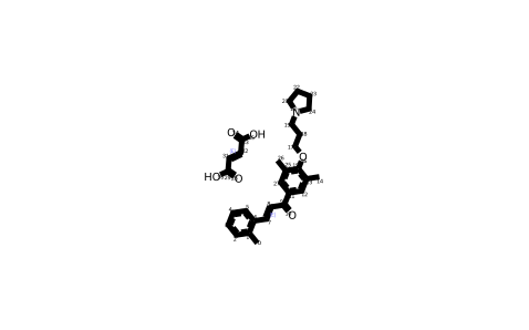 Cc1ccccc1/C=C/C(=O)c1cc(C)c(OCCCN2CCCC2)c(C)c1.O=C(O)/C=C/C(=O)O